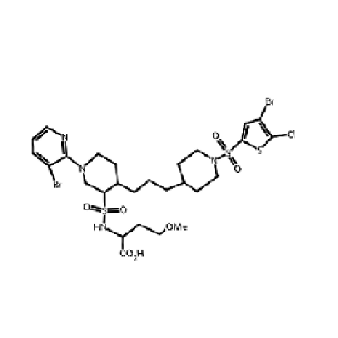 COCCC(NS(=O)(=O)C1CN(c2ncccc2Br)CCC1CCCC1CCN(S(=O)(=O)c2cc(Br)c(Cl)s2)CC1)C(=O)O